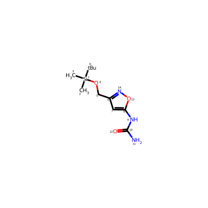 CC(C)(C)[Si](C)(C)OCc1cc(NC(N)=O)on1